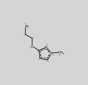 CC(C)CCOc1ccn(C)n1